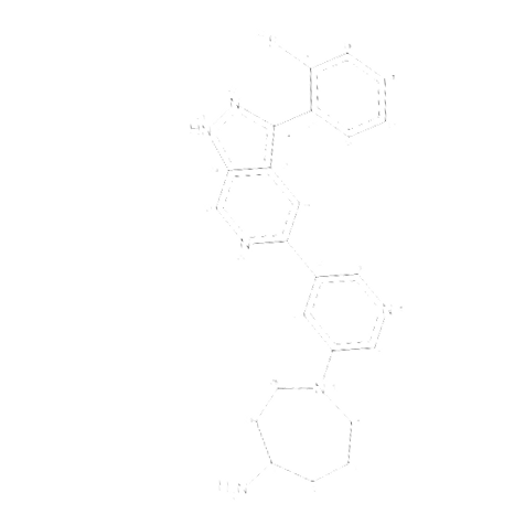 NC1CCCN(c2cncc(-c3cc4c(-c5ccccc5F)n[nH]c4cn3)c2)CC1